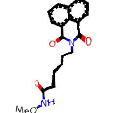 CONC(=O)CCCCCN1C(=O)c2cccc3cccc(c23)C1=O